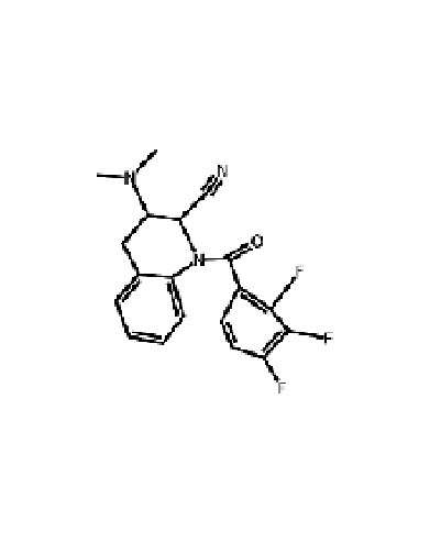 CN(C)C1Cc2ccccc2N(C(=O)c2ccc(F)c(F)c2F)C1C#N